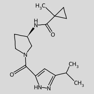 CC(C)c1cc(C(=O)N2CC[C@@H](NC(=O)C3(C)CC3)C2)[nH]n1